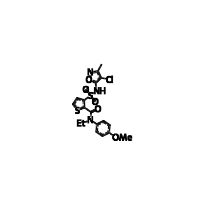 CCN(C(=O)c1sccc1S(=O)(=O)Nc1onc(C)c1Cl)c1ccc(OC)cc1